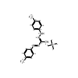 C[N+](C)(C)C.N#CC(N=Nc1ccc(C(F)(F)F)cc1)=NNc1ccc(C(F)(F)F)cc1